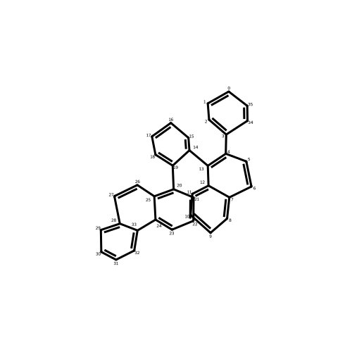 c1ccc(-c2ccc3ccccc3c2-c2ccccc2-c2cccc3c2ccc2ccccc23)cc1